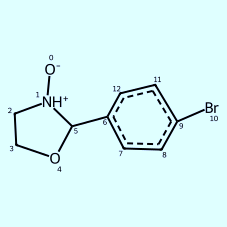 [O-][NH+]1CCOC1c1ccc(Br)cc1